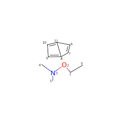 CCON(C)C.c1cc2ccc1-2